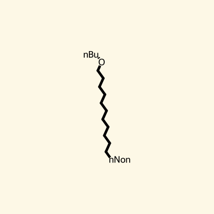 [CH2]CCCCCCCCCCCCCCCCCCCOCCCC